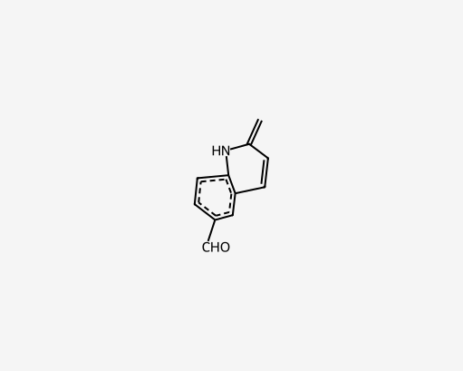 C=C1C=Cc2cc(C=O)ccc2N1